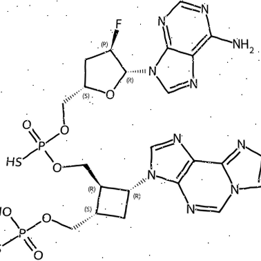 Nc1ncnc2c1ncn2[C@@H]1O[C@H](COP(=O)(S)OC[C@@H]2[C@@H](COP(=O)(O)S)C[C@H]2n2cnc3c2ncn2ccnc32)C[C@H]1F